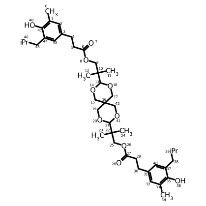 Cc1cc(CCC(=O)OCC(C)(C)C2OCC3(CO2)COC(C(C)(C)COC(=O)CCc2cc(C)c(O)c(CC(C)C)c2)OC3)cc(CC(C)C)c1O